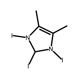 CC1=C(C)N(I)C(I)N1I